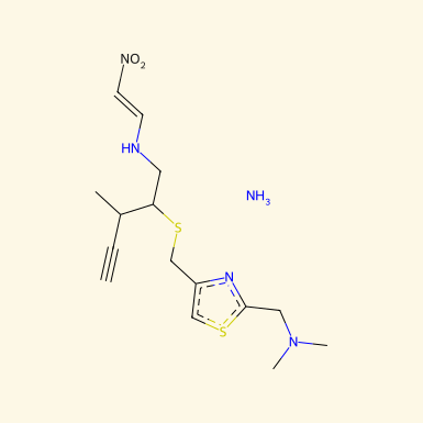 C#CC(C)C(CNC=C[N+](=O)[O-])SCc1csc(CN(C)C)n1.N